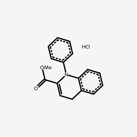 COC(=O)C1=CCc2ccccc2N1c1ccccc1.Cl